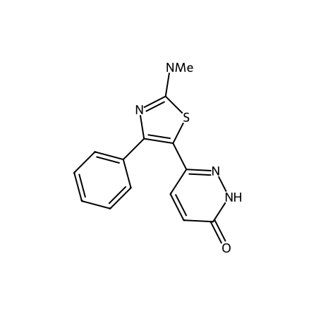 CNc1nc(-c2ccccc2)c(-c2ccc(=O)[nH]n2)s1